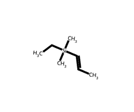 CC=C[Si](C)(C)CC